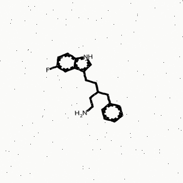 NCCC(CCc1c[nH]c2ccc(F)cc12)Cc1ccccc1